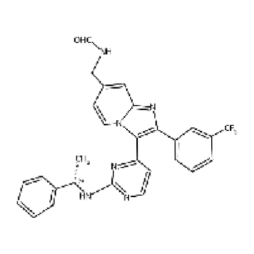 C[C@H](Nc1nccc(-c2c(-c3cccc(C(F)(F)F)c3)nc3cc(CNC=O)ccn23)n1)c1ccccc1